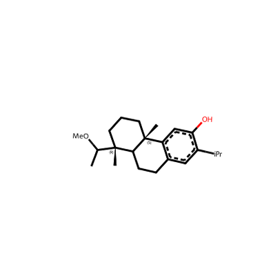 COC(C)[C@]1(C)CCC[C@]2(C)c3cc(O)c(C(C)C)cc3CCC12